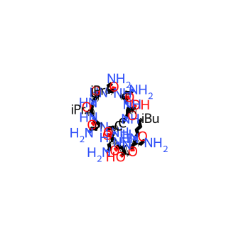 CCC(C)CCCC(=O)N[C@@H](CCN)C(=O)N[C@H](C(=O)N[C@@H](CCN)C(=O)N[C@H]1CCNC(=O)[C@H]([C@@H](C)O)NC(=O)[C@H](CCN)NC(=O)[C@H](CCN)NC(=O)[C@H](CC(C)C)NC(=O)[C@@H](CC(C)C)NC(=O)[C@H](CCN)NC1=O)[C@@H](C)O